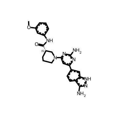 COc1cccc(NC(=O)[C@H]2CCCN(c3cc(-c4ccc5c(N)n[nH]c5c4)nc(N)n3)C2)c1